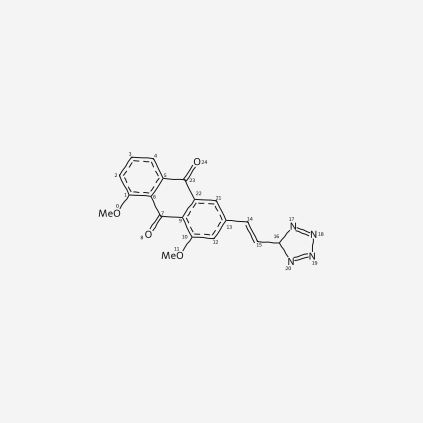 COc1cccc2c1C(=O)c1c(OC)cc(C=CC3N=NN=N3)cc1C2=O